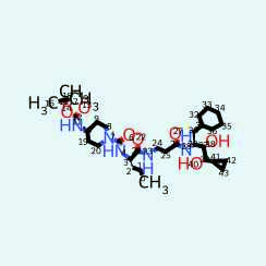 CCC[C@H](NC(=O)N1CCC(NC(=O)OC(C)(C)C)CC1)C(=O)NCCC(=O)N[C@@H](CC1CCCCC1)[C@@H](O)[C@@H](O)C1CC1